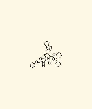 O=C(COc1ccccc1)NC1C(=O)N2C(C(=O)OC(c3ccccc3)c3ccccc3)=C(Sc3nc4ccccc4s3)CS[C@H]12